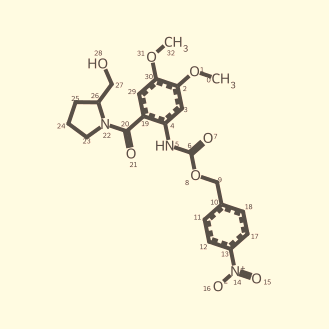 COc1cc(NC(=O)OCc2ccc([N+](=O)[O-])cc2)c(C(=O)N2CCCC2CO)cc1OC